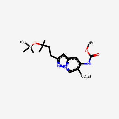 CCOC(=O)c1cn2nc(CCC(C)(C)O[Si](C)(C)C(C)(C)C)cc2cc1NC(=O)OC(C)(C)C